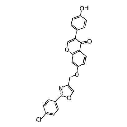 O=c1c(-c2ccc(O)cc2)coc2cc(OCc3coc(-c4ccc(Cl)cc4)n3)ccc12